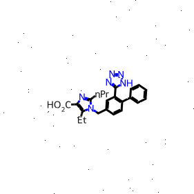 CCCc1nc(C(=O)O)c(CC)n1Cc1ccc(-c2ccccc2)c(-c2nnn[nH]2)c1